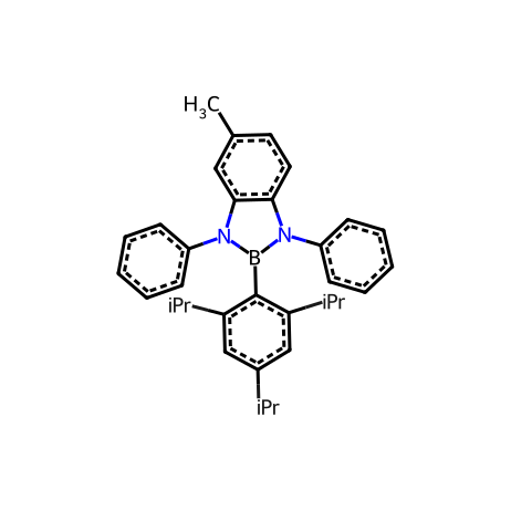 Cc1ccc2c(c1)N(c1ccccc1)B(c1c(C(C)C)cc(C(C)C)cc1C(C)C)N2c1ccccc1